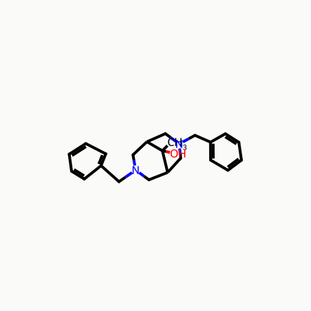 CC1(O)C2CN(Cc3ccccc3)CC1CN(Cc1ccccc1)C2